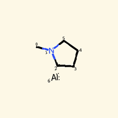 CN1CCCC1.[Al]